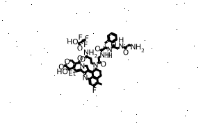 CC[C@@]1(O)C(=O)OCc2c1cc1n(c2=O)Cc2c-1nc1cc(F)c(C)c3c1c2[C@@H](N(CCC(N)=O)C(=O)CNC(=O)[C@H](Cc1ccccc1)NC(=O)CNC(=O)CN)CC3.O=C(O)C(F)(F)F